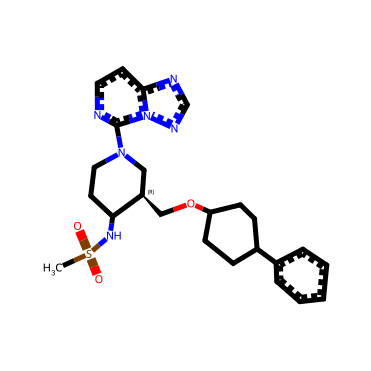 CS(=O)(=O)NC1CCN(c2nccc3ncnn23)C[C@H]1COC1CCC(c2ccccc2)CC1